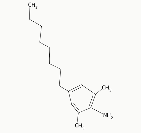 CCCCCCCCc1cc(C)c(N)c(C)c1